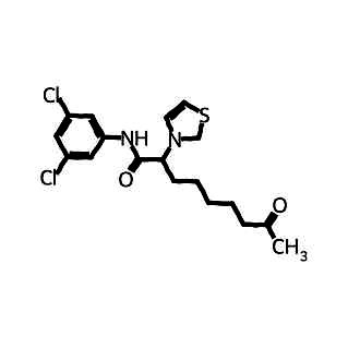 CC(=O)CCCCCC(C(=O)Nc1cc(Cl)cc(Cl)c1)N1C=CSC1